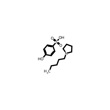 CCCCCN1CCCC1.O=S(=O)(O)c1ccc(O)cc1